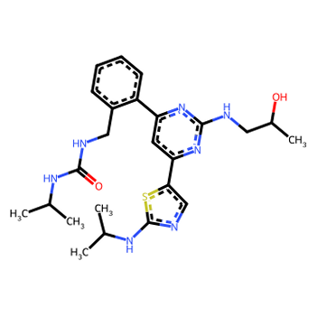 CC(O)CNc1nc(-c2cnc(NC(C)C)s2)cc(-c2ccccc2CNC(=O)NC(C)C)n1